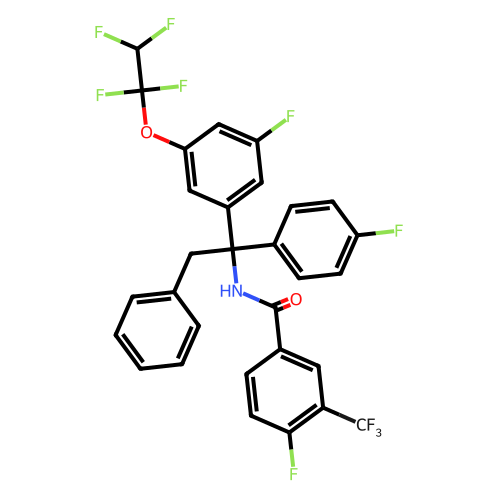 O=C(NC(Cc1ccccc1)(c1ccc(F)cc1)c1cc(F)cc(OC(F)(F)C(F)F)c1)c1ccc(F)c(C(F)(F)F)c1